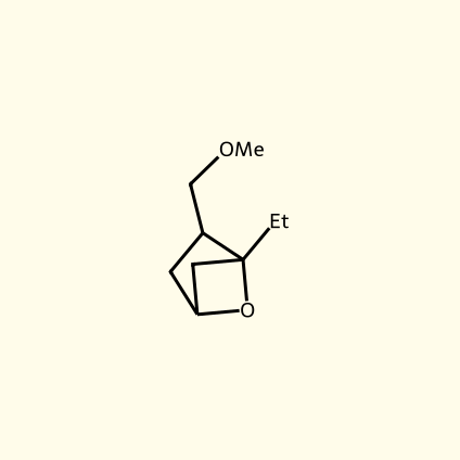 CCC12CC(CC1COC)O2